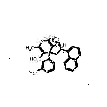 C=CCC(CC1(c2cccc([N+](=O)[O-])c2)C(C(=O)O)=C(C)NC(C)=C1C(=O)O)c1cccc2ccccc12